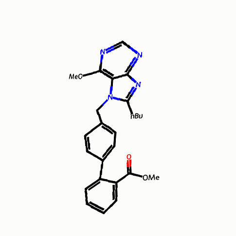 CCCCc1nc2ncnc(OC)c2n1Cc1ccc(-c2ccccc2C(=O)OC)cc1